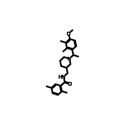 COc1ccc(C(C)N2CCCC(CNC(=O)c3cc(C)ccc3C)C2)c(C)c1C